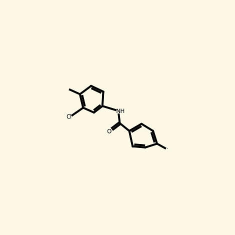 [CH2]c1ccc(C(=O)Nc2ccc(C)c(Cl)c2)cc1